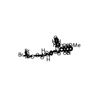 COc1cccc2c1C(=O)c1c(O)c3c(c(O)c1C2=O)CC(C(=O)NOCc1ccc(NC(=O)CNC(=O)CCOCCOCCn2nc(CBr)c(CBr)n2)cc1)C[C@@H]3O[C@H]1C[C@H]2[C@H](O[C@@H]3COCCN32)[C@H](C)O1